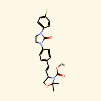 CC(C)(C)OC(=O)N1C(C=Cc2ccc(N3CCN(c4ccc(F)cc4)C3=O)cc2)COC1(C)C